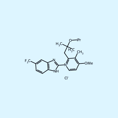 COc1cc[n+](-c2nc3cc(C(F)(F)F)ccc3[nH]2)c(CC(C)(C)OC(C)C)c1C.[Cl-]